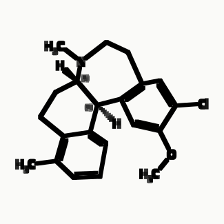 COc1cc2c(cc1Cl)CCN(C)[C@H]1CCc3c(C)cccc3[C@H]21